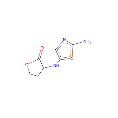 Nc1ncc(NC2CCOC2=O)s1